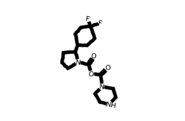 O=C(OC(=O)N1CCCC1C1CCC(F)(F)CC1)N1CCNCC1